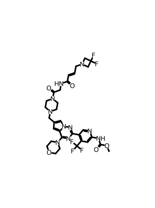 COC(=O)Nc1cc(C(F)(F)F)c(-c2nc(N3CCOCC3)c3cc(CN4CCN(C(=O)CNC(=O)/C=C/CN5CC(F)(F)C5)CC4)cn3n2)cn1